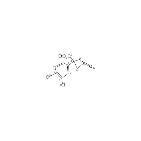 CCOC(=O)C1(c2ccc(Cl)c(Cl)c2)CC(=O)C1